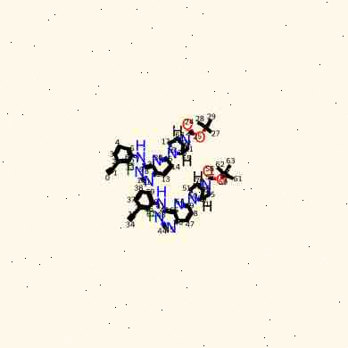 C#Cc1cccc(Nc2ncnc3ccc(N4C[C@@H]5C[C@H]4CN5C(=O)OC(C)(C)C)nc23)c1F.C#Cc1cccc(Nc2ncnc3ccc(N4C[C@@H]5C[C@H]4CN5C(=O)OC(C)(C)C)nc23)c1F